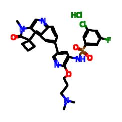 CN(C)CCCOc1ncc(-c2ccc3ncc4c(c3c2)C2(CCC2)C(=O)N4C)cc1NS(=O)(=O)c1cc(F)cc(Cl)c1.Cl